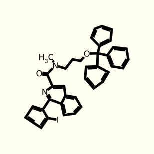 CN(CCCOC(c1ccccc1)(c1ccccc1)c1ccccc1)C(=O)c1cc2ccccc2c(-c2ccccc2I)n1